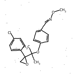 CO/N=C/c1ccc(OC(C)(C)C2(c3ccc(Cl)cc3)CO2)cc1